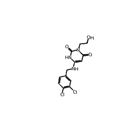 O=c1cc(NCc2ccc(Cl)c(Cl)c2)[nH]c(=O)n1CCO